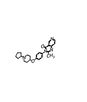 Cc1nc2ccncc2c(=O)n1-c1ccc(OC2CCN(C3CCCC3)CC2)cc1